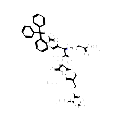 NC(=O)CO/N=C(\C(=O)N[C@@H]1C(=O)N2C(C(=O)O)=C(CSc3nnnn3N)CS[C@@H]12)c1csc(NC(c2ccccc2)(c2ccccc2)c2ccccc2)n1